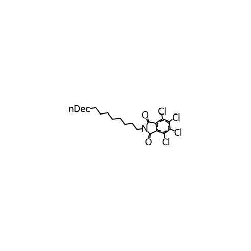 CCCCCCCCCCCCCCCCCCN1C(=O)c2c(Cl)c(Cl)c(Cl)c(Cl)c2C1=O